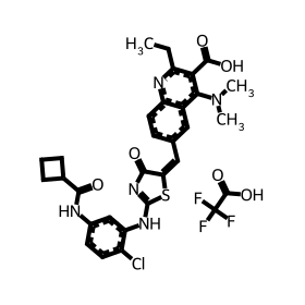 CCc1nc2ccc(C=C3SC(Nc4cc(NC(=O)C5CCC5)ccc4Cl)=NC3=O)cc2c(N(C)C)c1C(=O)O.O=C(O)C(F)(F)F